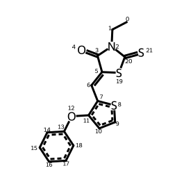 CCN1C(=O)C(=Cc2sccc2Oc2ccccc2)SC1=S